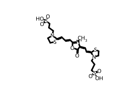 C[N+]1=C(/C=C/C=C2\SCCN2CCCS(=O)(=O)O)OC(=O)/C1=C\C=C1/SCCN1CCCS(=O)(=O)O